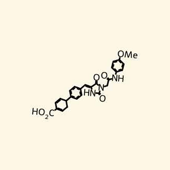 COc1ccc(NC(=O)CN2C(=O)N/C(=C\c3ccc(C4C=CC(C(=O)O)=CC4)cc3)C2=O)cc1